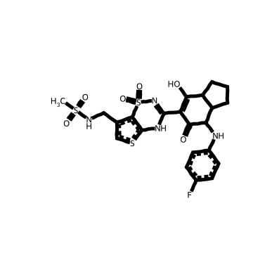 CS(=O)(=O)NCc1csc2c1S(=O)(=O)N=C(C1=C(O)C3CCCC3C(Nc3ccc(F)cc3)C1=O)N2